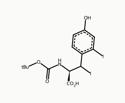 CC(C)(C)OC(=O)N[C@H](C(=O)O)C(I)c1ccc(O)cc1I